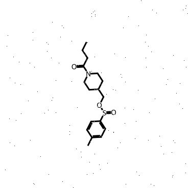 CCCC(=O)N1CCC(COS(=O)c2ccc(C)cc2)CC1